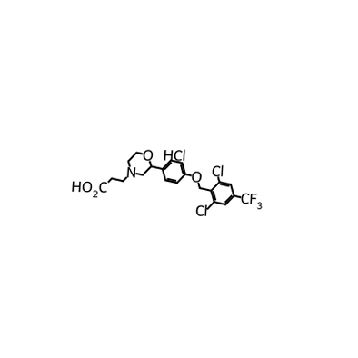 Cl.O=C(O)CCN1CCOC(c2ccc(OCc3c(Cl)cc(C(F)(F)F)cc3Cl)cc2)C1